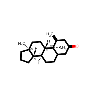 C=C1CC(=O)CC2CC[C@H]3[C@@H]4CCC[C@@]4(C)CC[C@@H]3[C@@]12C